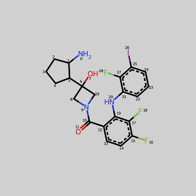 NC1CCCC1C1(O)CN(C(=O)c2ccc(F)c(F)c2Nc2cccc(I)c2F)C1